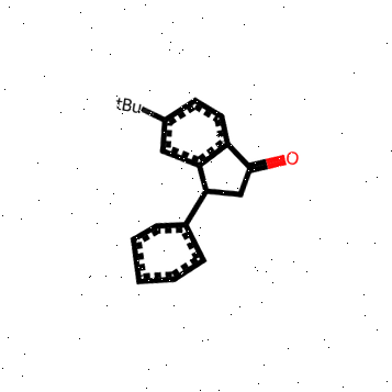 CC(C)(C)c1ccc2c(c1)C(c1ccccc1)CC2=O